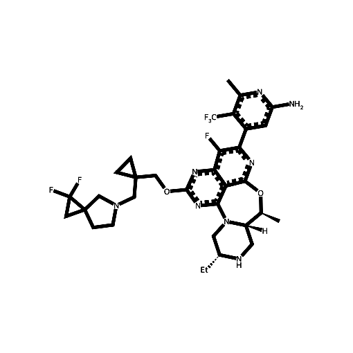 CC[C@@H]1CN2c3nc(OCC4(CN5CCC6(C5)CC6(F)F)CC4)nc4c(F)c(-c5cc(N)nc(C)c5C(F)(F)F)nc(c34)O[C@@H](C)[C@@H]2CN1